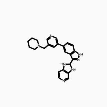 c1cc2c(cn1)NC(c1n[nH]c3ccc(-c4cncc(CN5CCCCC5)c4)cc13)N2